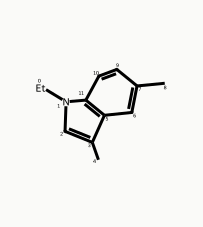 CCn1cc(C)c2cc(C)ccc21